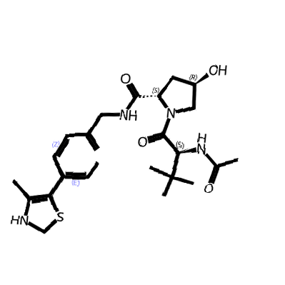 C=C(/C=C\C(=C/C)C1=C(C)NCS1)CNC(=O)[C@@H]1C[C@@H](O)CN1C(=O)[C@@H](NC(C)=O)C(C)(C)C